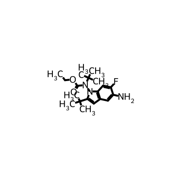 CCOC(=O)N(n1c(C(C)(C)C)cc2cc(N)c(F)cc21)C(C)(C)C